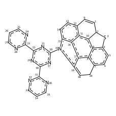 C1=CC2Sc3ccc4c5c3c2c2c1ccc1c2c5c(n1-c1nc(-c2ncccn2)nc(-c2ncccn2)n1)=CC4